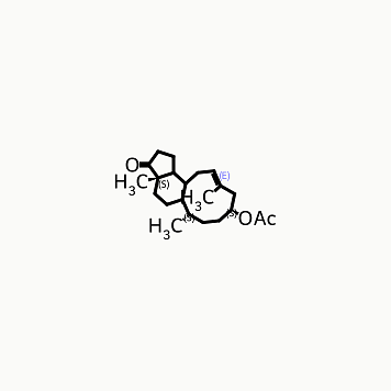 CC(=O)O[C@H]1CC[C@H](C)C2CC[C@]3(C)C(=O)CCC3C2C/C=C(\C)C1